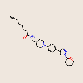 C#CCCCCCC(=O)NCC1CCN(c2ccc(-c3cnn(C4CCCCO4)c3)cc2)CC1